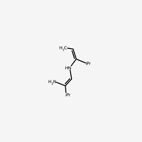 C/C=C(\N/C=C(\N)C(C)C)C(C)C